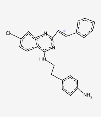 Nc1ccc(CCNc2nc(/C=C/c3ccccc3)nc3cc(Cl)ccc23)cc1